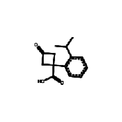 CC(C)c1ccccc1C1(C(=O)O)CC(=O)C1